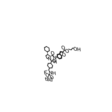 CC(C)(C)OC(=O)N[C@H](CF)C1CCC(C(=O)N2CC[C@@H](C3CCCCC3)[C@H]2C(=O)Nc2ccc3oc(C(=O)OCCCO)cc3c2)CC1